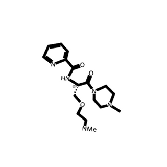 CNCCOC[C@H](NC(=O)c1ccccn1)C(=O)N1CCN(C)CC1